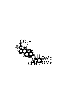 COc1cc2nc(Cl)nc(N[C@@H]3CC[C@]4(C)C5CC[C@]6(C)C(C(C)CCC(=O)O)CCC6C5CC[C@@H]4C3)c2cc1OC